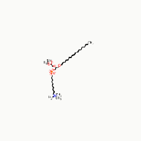 CCCCCCCCCCCCCCCCCCOCC(COP(=O)([O-])OCCCCCCCCCC[N+](C)(C)C)OCC(OC)OC